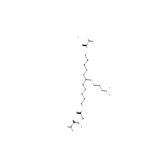 CCCCCCCCC(CCCCCC)C(=O)OCCCCCC(CCCCCOC(=O)CN(C)C(=O)C(CCCCCC)CCCCCCCC)NCCCN(C)C